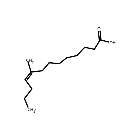 [CH2]CCC=C(C)CCCCCCCC(=O)O